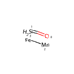 O=[SiH2].[Mn][Fe]